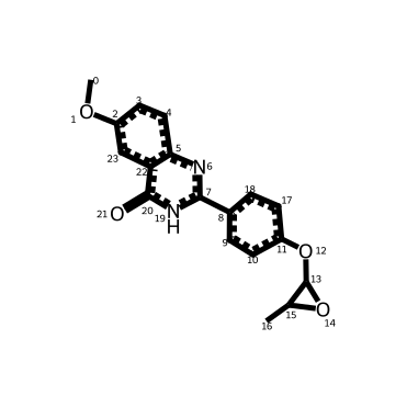 COc1ccc2nc(-c3ccc(OC4OC4C)cc3)[nH]c(=O)c2c1